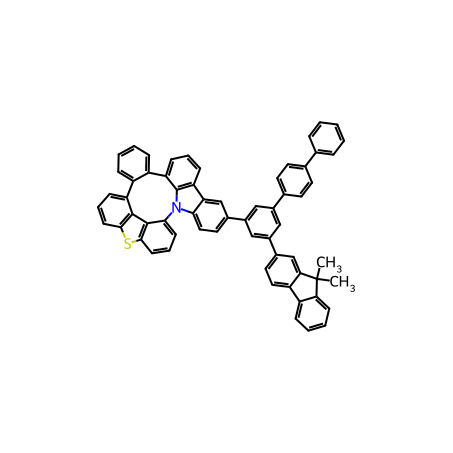 CC1(C)c2ccccc2-c2ccc(-c3cc(-c4ccc(-c5ccccc5)cc4)cc(-c4ccc5c(c4)c4cccc6c7ccccc7c7cccc8sc9cccc(c9c87)n5c64)c3)cc21